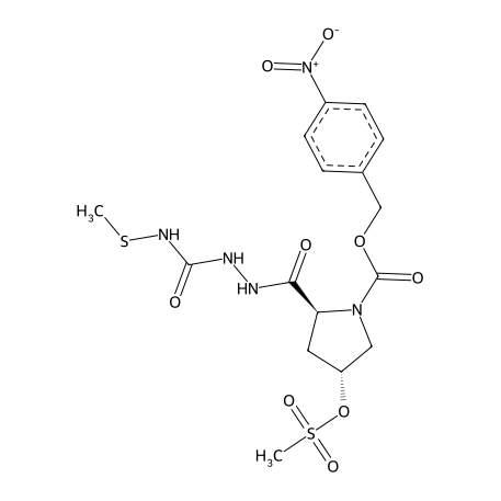 CSNC(=O)NNC(=O)[C@@H]1C[C@@H](OS(C)(=O)=O)CN1C(=O)OCc1ccc([N+](=O)[O-])cc1